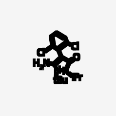 CC(C)n1c(=O)c(-c2c(Cl)cccc2Cl)c(N)n1C(C)(C)C